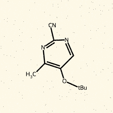 Cc1nc(C#N)ncc1OC(C)(C)C